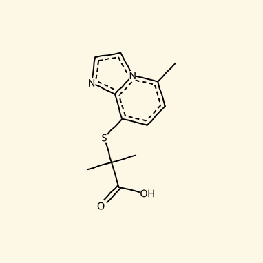 Cc1ccc(SC(C)(C)C(=O)O)c2nccn12